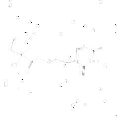 CC(C)CC(C)(C(=O)OCCCn1ccc(=S)[nH]c1=S)C(C)C